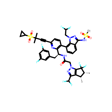 CCS(=O)(=O)Nc1nn(CC(F)F)c2c(-c3ccc(C#CC(C)(C)S(=O)(=O)C4CC4)nc3[C@H](Cc3cc(F)cc(F)c3)NC(=O)Cn3nc(C(F)F)c4c3C(F)(F)[C@H](C)[C@@H]4C)cccc12